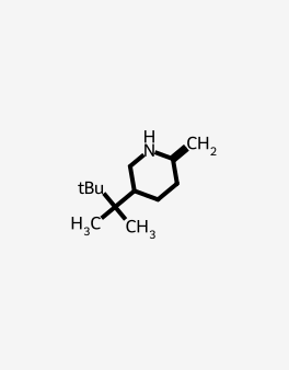 C=C1CCC(C(C)(C)C(C)(C)C)CN1